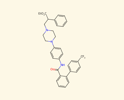 CCOC(=O)C(CN1CCN(c2ccc(NC(=O)c3ccccc3-c3ccc(C(F)(F)F)cc3)cc2)CC1)c1ccccc1